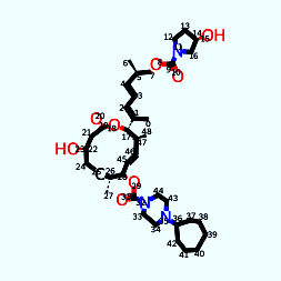 C/C(=C\C=C\[C@@H](C)COC(=O)N1CC[C@@H](O)C1)[C@H]1OC(=O)C[C@@H](O)CC[C@@H](C)[C@@H](OC(=O)N2CCN(C3CCCCCC3)CC2)/C=C/[C@@H]1C